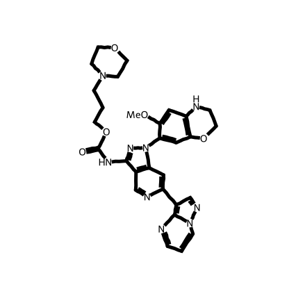 COc1cc2c(cc1-n1nc(NC(=O)OCCCN3CCOCC3)c3cnc(-c4cnn5cccnc45)cc31)OCCN2